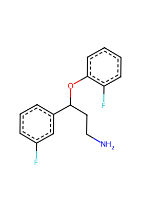 NCCC(Oc1ccccc1F)c1cccc(F)c1